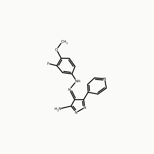 COc1ccc(N/N=C2/C(N)=NN=C2c2ccncc2)cc1F